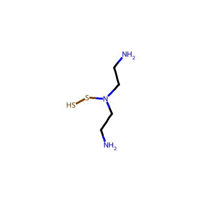 NCCN(CCN)SS